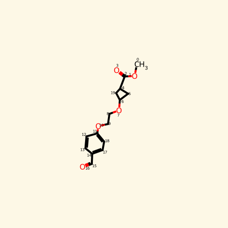 COC(=O)C1CC(OCCOc2ccc(C=O)cc2)C1